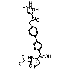 O=C(N[C@H](CF)[C@H](O)c1ccc(-c2ccc(C[S+]([O-])C3=CNNN3)cc2)cc1)C(Cl)Cl